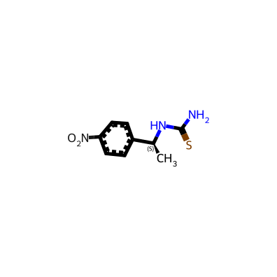 C[C@H](NC(N)=S)c1ccc([N+](=O)[O-])cc1